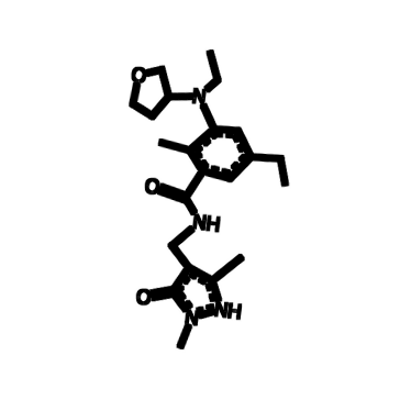 CCc1cc(C(=O)NCc2c(C)[nH]n(C)c2=O)c(C)c(N(CC)C2CCOC2)c1